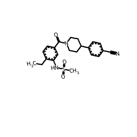 CCc1ccc(C(=O)N2CCC(c3ccc(C#N)cc3)CC2)cc1NS(C)(=O)=O